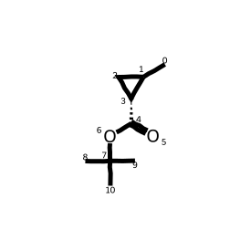 CC1C[C@H]1C(=O)OC(C)(C)C